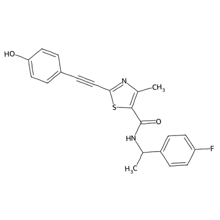 Cc1nc(C#Cc2ccc(O)cc2)sc1C(=O)NC(C)c1ccc(F)cc1